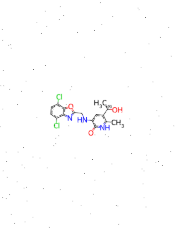 Cc1[nH]c(=O)c(NCc2nc3c(Cl)ccc(Cl)c3o2)cc1[C@@H](C)O